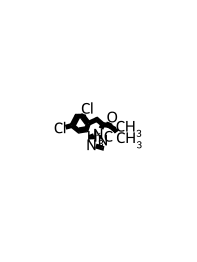 CC(C)(C)C(=O)C(Cc1ccc(Cl)cc1Cl)n1cncn1